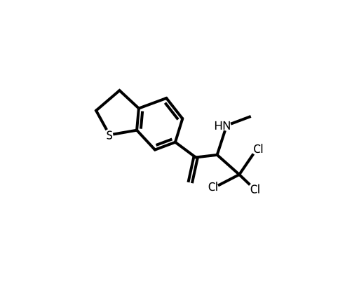 C=C(c1ccc2c(c1)SCC2)C(NC)C(Cl)(Cl)Cl